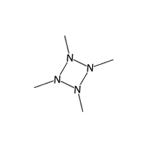 CN1N(C)N(C)N1C